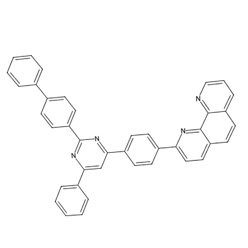 c1ccc(-c2ccc(-c3nc(-c4ccccc4)cc(-c4ccc(-c5ccc6ccc7cccnc7c6n5)cc4)n3)cc2)cc1